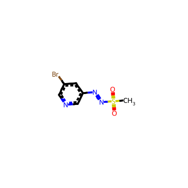 CS(=O)(=O)N=Nc1cncc(Br)c1